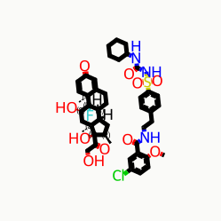 COc1ccc(Cl)cc1C(=O)NCCc1ccc(S(=O)(=O)NC(=O)NC2CCCCC2)cc1.C[C@@H]1C[C@H]2[C@@H]3CCC4=CC(=O)C=C[C@]4(C)[C@@]3(F)[C@@H](O)C[C@]2(C)[C@@]1(O)C(=O)CO